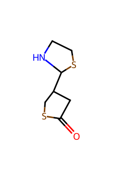 O=C1CC(C2NCCS2)CS1